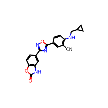 N#Cc1cc(-c2nc(-c3ccc4oc(=O)[nH]c4c3)no2)ccc1NCC1CC1